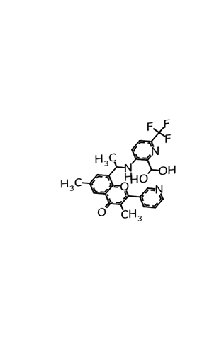 Cc1cc(C(C)Nc2ccc(C(F)(F)F)nc2C(O)O)c2oc(-c3cccnc3)c(C)c(=O)c2c1